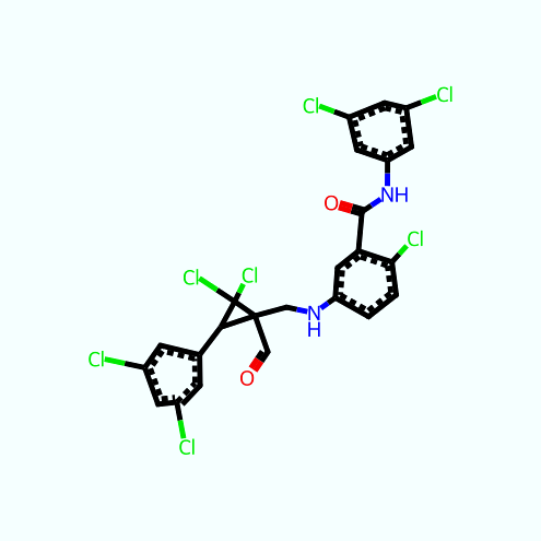 O=CC1(CNc2ccc(Cl)c(C(=O)Nc3cc(Cl)cc(Cl)c3)c2)C(c2cc(Cl)cc(Cl)c2)C1(Cl)Cl